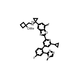 COC1(CNC2(c3cc(F)c4oc(-c5cc(-c6ccc(F)cc6-c6nncn6C)cc(C6CC6)n5)nc4c3)CC2)CCC1